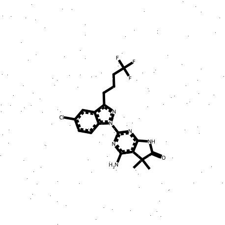 CC1(C)C(=O)Nc2nc(-n3nc(CCCC(F)(F)F)c4cc(Cl)ccc43)nc(N)c21